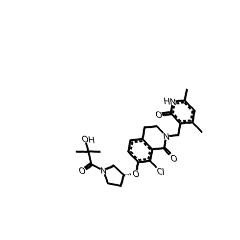 Cc1cc(C)c(CN2CCc3ccc(O[C@@H]4CCN(C(=O)C(C)(C)O)C4)c(Cl)c3C2=O)c(=O)[nH]1